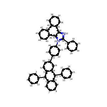 c1ccc(-c2c3ccccc3c(-c3ccccc3)c3cc(-c4ccc(-n5c(-c6ccccc6)nc6c7ccccc7c7ccccc7c65)cc4)ccc23)cc1